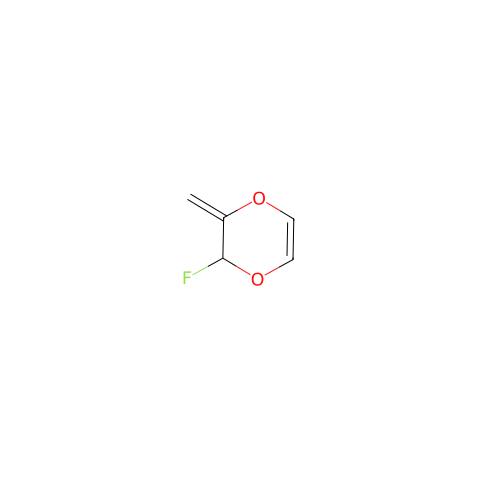 C=C1OC=COC1F